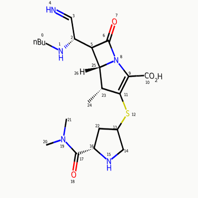 CCCCN[C@H](C=N)C1C(=O)N2C(C(=O)O)=C(SC3CN[C@H](C(=O)N(C)C)C3)[C@H](C)[C@H]12